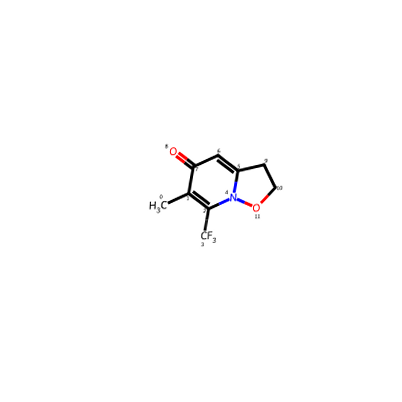 Cc1c(C(F)(F)F)n2c(cc1=O)CCO2